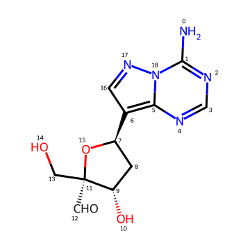 Nc1ncnc2c([C@H]3C[C@H](O)[C@@](C=O)(CO)O3)cnn12